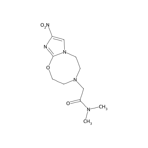 CN(C)C(=O)CN1CCOc2nc([N+](=O)[O-])cn2CC1